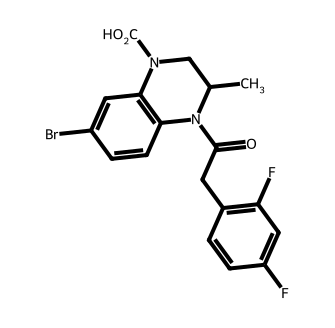 CC1CN(C(=O)O)c2cc(Br)ccc2N1C(=O)Cc1ccc(F)cc1F